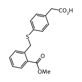 COC(=O)c1ccccc1CSc1ccc(CC(=O)O)cc1